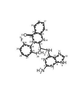 CC(Nc1nc(N)nc2[nH]cnc12)c1nc2ccccc2c(=O)n1-c1c(F)cccc1F